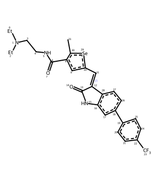 CCN(CC)CCNC(=O)c1cc(/C=C2\C(=O)Nc3cc(-c4ccc(C(F)(F)F)cc4)ccc32)[se]c1C